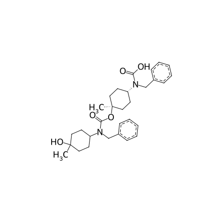 CC1(O)CCC(N(Cc2ccccc2)C(=O)O[C@]2(C)CC[C@@H](N(Cc3ccccc3)C(=O)O)CC2)CC1